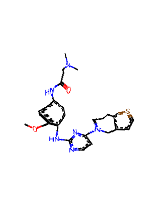 COc1cc(NC(=O)CN(C)C)ccc1Nc1nccc(N2CCc3sccc3C2)n1